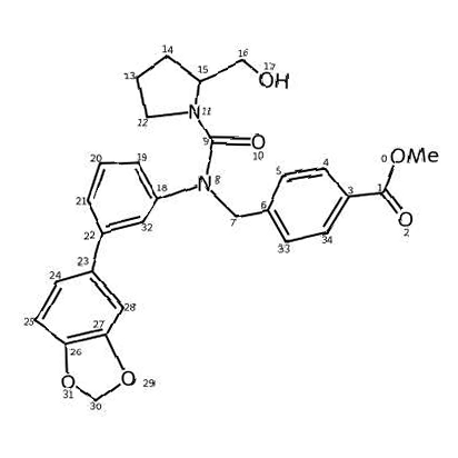 COC(=O)c1ccc(CN(C(=O)N2CCCC2CO)c2cccc(-c3ccc4c(c3)OCO4)c2)cc1